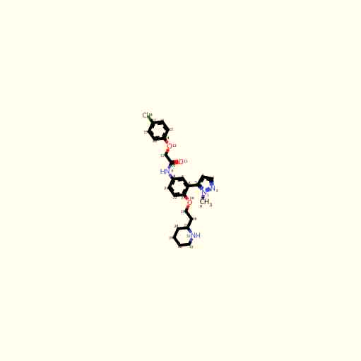 Cn1nccc1-c1cc(NC(=O)COc2ccc(Cl)cc2)ccc1OCCC1CCCCN1